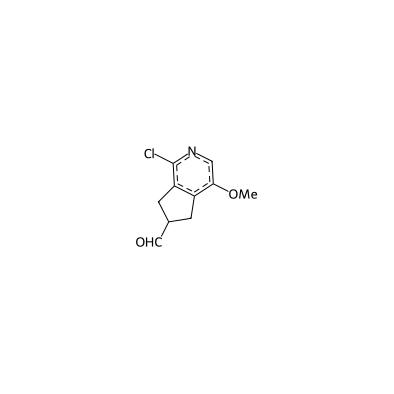 COc1cnc(Cl)c2c1CC(C=O)C2